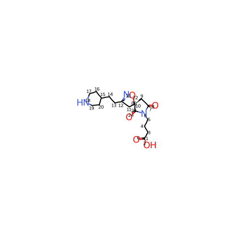 O=C(O)CCCN1C(=O)C[C@]2(CC(CCC3CCNCC3)=NO2)C1=O